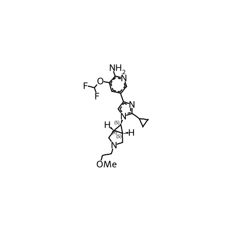 COCCN1C[C@@H]2[C@H](C1)[C@H]2n1cc(-c2cnc(N)c(OC(F)F)c2)nc1C1CC1